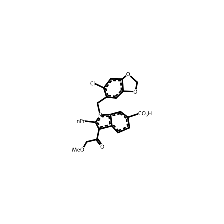 CCCc1c(C(=O)COC)c2ccc(C(=O)O)cc2n1Cc1cc2c(cc1Cl)OCO2